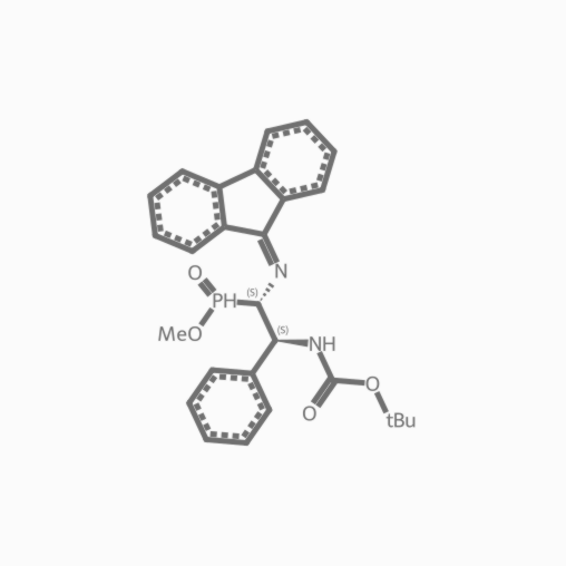 CO[PH](=O)[C@H](N=C1c2ccccc2-c2ccccc21)[C@@H](NC(=O)OC(C)(C)C)c1ccccc1